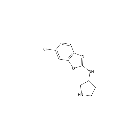 Clc1ccc2nc(NC3CCNC3)oc2c1